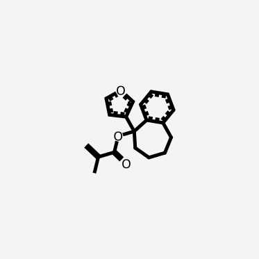 C=C(C)C(=O)OC1(c2ccoc2)CCCCc2ccccc21